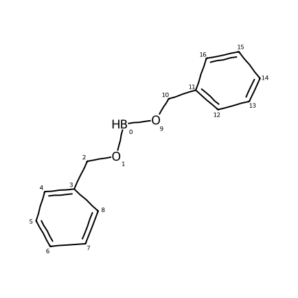 B(OCc1ccccc1)OCc1ccccc1